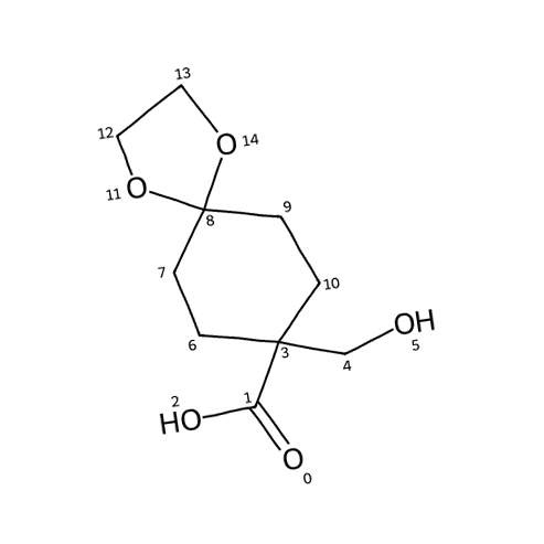 O=C(O)C1(CO)CCC2(CC1)OCCO2